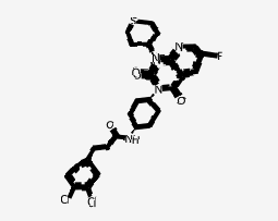 O=C(CCc1ccc(Cl)c(Cl)c1)N[C@H]1CC[C@@H](n2c(=O)c3cc(F)cnc3n(C3CCSCC3)c2=O)CC1